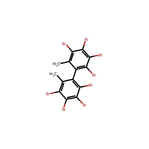 Cc1c(Br)c(Br)c(Br)c(Br)c1-c1c(C)c(Br)c(Br)c(Br)c1Br